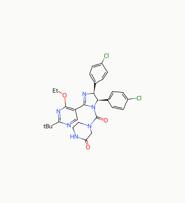 CCOc1nc(C(C)(C)C)ncc1C1=N[C@@H](c2ccc(Cl)cc2)[C@@H](c2ccc(Cl)cc2)N1C(=O)N1CCNC(=O)C1